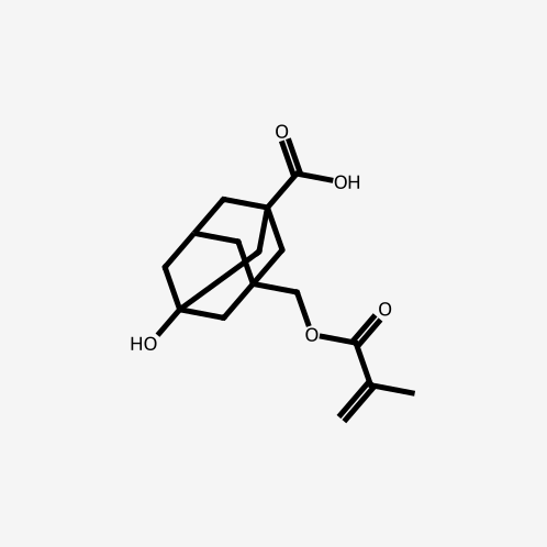 C=C(C)C(=O)OCC12CC3CC(O)(C1)CC(C(=O)O)(C3)C2